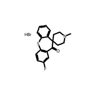 Br.CN1CCC2(CC1)C(=O)c1cc(F)ccc1Sc1ccccc12